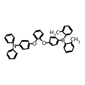 Cc1ccccc1B(c1ccc(Oc2ccccc2Oc2ccc(N(c3ccccc3)c3ccccc3)cc2)cc1)c1ccccc1C